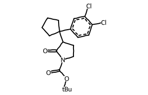 CC(C)(C)OC(=O)N1CCC(C2(c3ccc(Cl)c(Cl)c3)CCCC2)C1=O